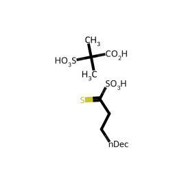 CC(C)(C(=O)O)S(=O)(=O)O.CCCCCCCCCCCCC(=S)S(=O)(=O)O